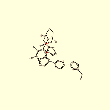 CC(=O)c1c([C@H]2C[C@H]3CC[C@@H](C2)N3C(=O)c2nnc[nH]2)nc2c(-c3ccc(-c4ccn(CF)n4)nc3)cnn2c1N